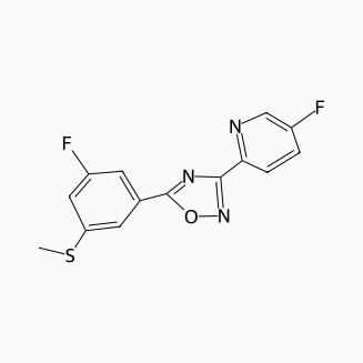 CSc1cc(F)cc(-c2nc(-c3ccc(F)cn3)no2)c1